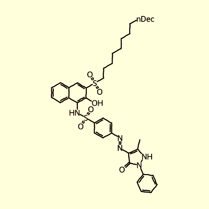 CCCCCCCCCCCCCCCCCCS(=O)(=O)c1cc2ccccc2c(NS(=O)(=O)c2ccc(N=Nc3c(C)[nH]n(-c4ccccc4)c3=O)cc2)c1O